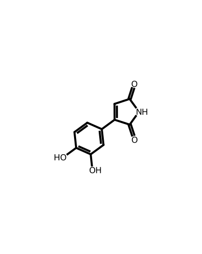 O=C1C=C(c2ccc(O)c(O)c2)C(=O)N1